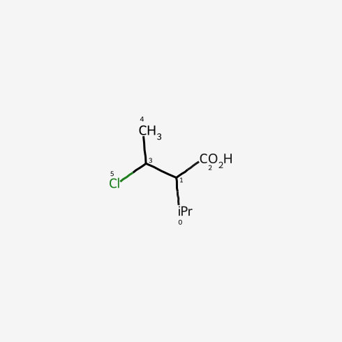 CC(C)C(C(=O)O)C(C)Cl